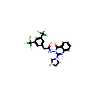 O=C(Cc1cc(C(F)(F)F)cc(C(F)(F)F)c1)Nn1c(N2CCSC2)nc2ccccc2c1=O